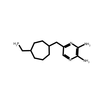 Nc1ncc(CC2CCCC(CP)CC2)nc1N